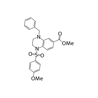 COC(=O)c1ccc2c(c1)N(Cc1ccccc1)CCN2S(=O)(=O)c1ccc(OC)cc1